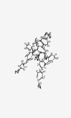 N#Cc1ccc(-c2ccc3c(c2)c2ccccc2n3-c2cc(-c3ccc(C(F)(F)F)cc3C(F)(F)F)cc(-n3c4ccccc4c4cc(-c5ccc(C#N)cc5)ccc43)c2C#N)cc1